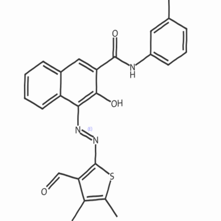 Cc1cccc(NC(=O)c2cc3ccccc3c(/N=N/c3sc(C)c(C)c3C=O)c2O)c1